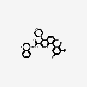 O=C(NN1CCOc2ccccc21)c1cnc2c(-c3cc(F)cc(F)c3F)c(F)ccc2c1N1CCOCC1